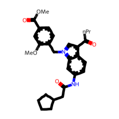 CCCC(=O)c1cn(Cc2ccc(C(=O)OC)cc2OC)c2cc(NC(=O)CC3CCCC3)ccc12